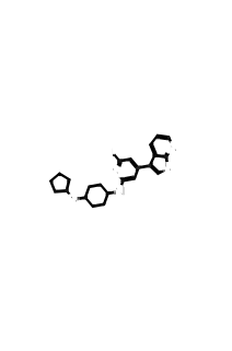 Clc1cc(-c2c[nH]c3ncccc23)cc(NC2CCC(NC3CCCC3)CC2)n1